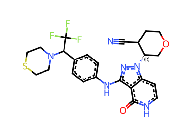 N#CC1CCOC[C@@H]1n1nc(Nc2ccc(C(N3CCSCC3)C(F)(F)F)cc2)c2c(=O)[nH]ccc21